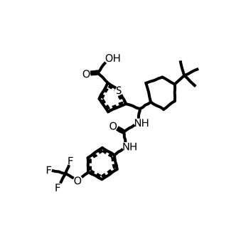 CC(C)(C)C1CCC(C(NC(=O)Nc2ccc(OC(F)(F)F)cc2)c2ccc(C(=O)O)s2)CC1